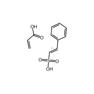 C=CC(=O)O.O=S(=O)(O)/C=C/c1ccccc1